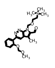 COCOc1ccccc1-c1cc2c(C)c(C=O)n(COCC[Si](C)(C)C)c2nn1